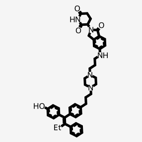 CC/C(=C(\c1ccc(O)cc1)c1ccc(CCCN2CCN(CCCNc3ccc4c(c3)CN(C3CCC(=O)NC3=O)C4=O)CC2)cc1)c1ccccc1